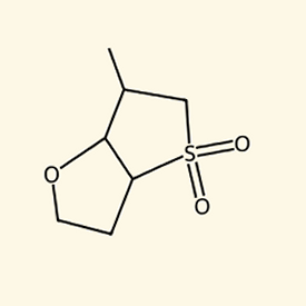 CC1CS(=O)(=O)C2CCOC12